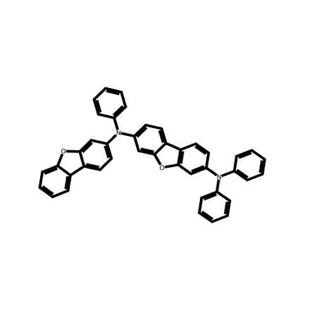 c1ccc(N(c2ccccc2)c2ccc3c(c2)oc2cc(N(c4ccccc4)c4ccc5c(c4)oc4ccccc45)ccc23)cc1